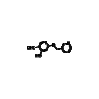 O=Cc1ccc(OCc2cccnc2)cc1O